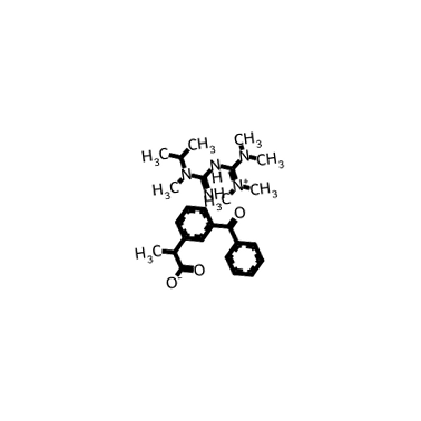 CC(C(=O)[O-])c1cccc(C(=O)c2ccccc2)c1.CC(C)N(C)C(=N)NC(N(C)C)=[N+](C)C